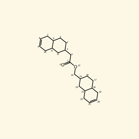 O=C(CC1CCC2CC=CCC2C1)OCC1CCC2CC=CCC2C1